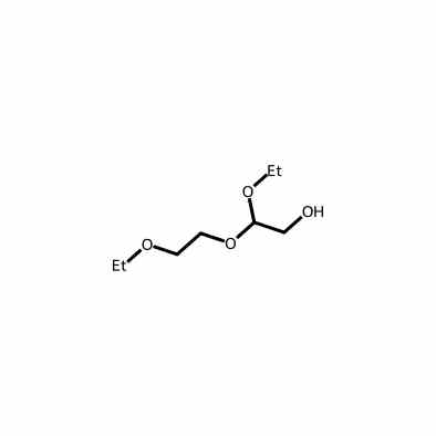 CCOCCOC(CO)OCC